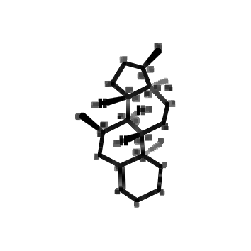 C[C@@H]1CC2=CCCC[C@]2(C)[C@H]2CC[C@]3(C)[C@H](C)CC[C@H]3[C@H]12